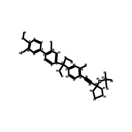 CCc1ccc(-c2ccc(C(CC)(CC)c3ccc(C#CC4(O[Si](C)(C)C)CCCC4)c(C)c3)cc2C)cc1F